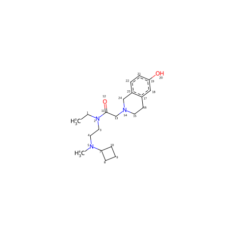 CCN(CCN(C)C1CCC1)C(=O)CN1CCc2cc(O)ccc2C1